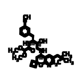 C#Cc1cccc(C[C@H](NC(=O)C(OC)OC)[C@@H](O)CN[C@H]2CC3(CCC3)Oc3ncc(CC(C)(C)C)cc32)c1